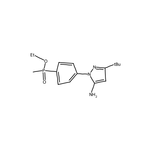 CCOP(C)(=O)c1ccc(-n2nc(C(C)(C)C)cc2N)cc1